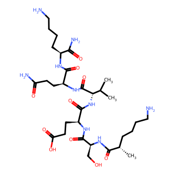 CC(C)[C@H](NC(=O)[C@H](CCC(=O)O)NC(=O)[C@H](CO)NC(=O)[C@@H](C)CCCCN)C(=O)N[C@@H](CCC(N)=O)C(=O)N[C@@H](CCCCN)C(N)=O